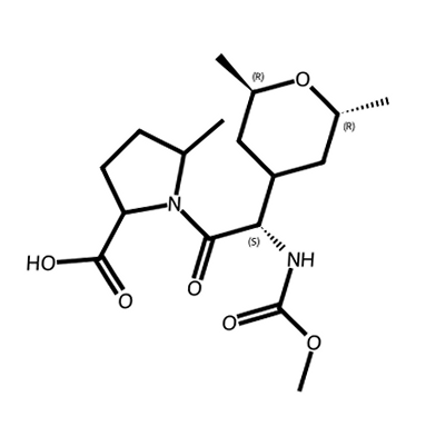 COC(=O)N[C@H](C(=O)N1C(C)CCC1C(=O)O)C1C[C@@H](C)O[C@H](C)C1